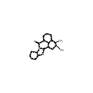 Cc1c(O)cc2c3c1cccc3c(=O)n1c3ccccc3nc21